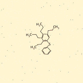 CCCc1cc(Sc2ccccc2)c(CCC)c(CCC)c1CCC